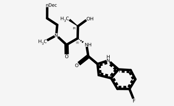 CCCCCCCCCCCCN(C)C(=O)[C@@H](NC(=O)c1cc2cc(F)ccc2[nH]1)[C@@H](C)O